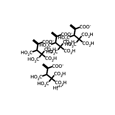 C=C(C(=O)[O-])C(C(=O)O)C(C(=O)O)(C(=O)O)C(=O)O.C=C(C(=O)[O-])C(C(=O)O)C(C(=O)O)(C(=O)O)C(=O)O.C=C(C(=O)[O-])C(C(=O)O)C(C(=O)O)(C(=O)O)C(=O)O.C=C(C(=O)[O-])C(C(=O)O)C(C(=O)O)(C(=O)O)C(=O)O.[Hf+4]